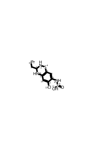 CC(C)CC1NSc2cc(NS(=O)O)c(Cl)cc2N1